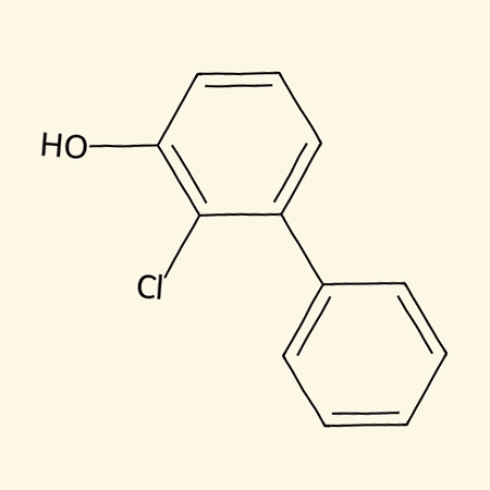 Oc1cccc(-c2ccccc2)c1Cl